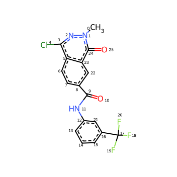 Cn1nc(Cl)c2ccc(C(=O)Nc3cccc(C(F)(F)F)c3)cc2c1=O